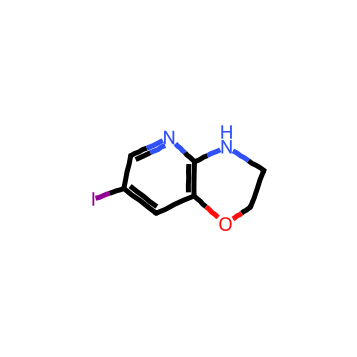 Ic1cnc2c(c1)OCCN2